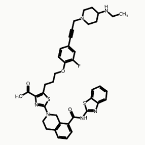 CCNC1CCN(CC#Cc2ccc(OCCCc3sc(N4CCc5cccc(C(=O)Nc6nc7ccccc7s6)c5C4)nc3C(=O)O)c(F)c2)CC1